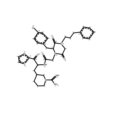 N=C(N)N1CCCC(CC(NC(=O)CN2C(=O)CN(CCCc3ccccc3)C(=O)C2Cc2ccc(Cl)cc2)C(=O)c2nccs2)C1